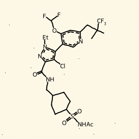 CCn1nc(C(=O)NCC2CCC(S(=O)(=O)NC(C)=O)CC2)c(Cl)c1-c1cnc(CC(C)(C)C(F)(F)F)cc1OC(F)F